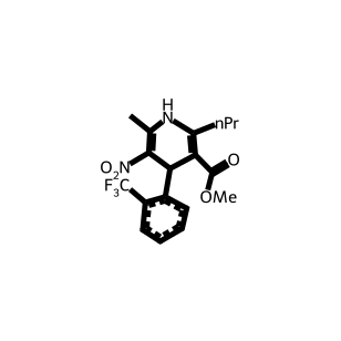 CCCC1=C(C(=O)OC)C(c2ccccc2C(F)(F)F)C([N+](=O)[O-])=C(C)N1